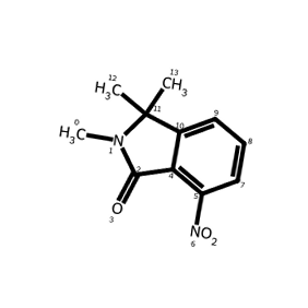 CN1C(=O)c2c([N+](=O)[O-])cccc2C1(C)C